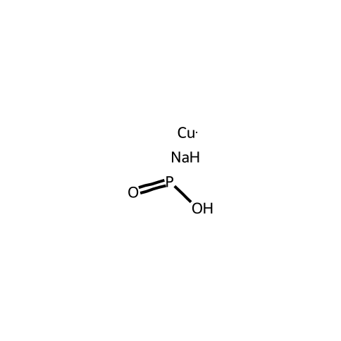 O=PO.[Cu].[NaH]